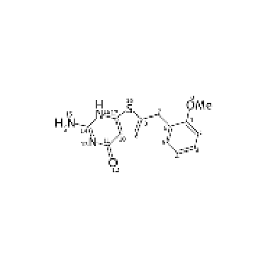 COc1ccccc1Cc1cc2c(=O)nc(N)[nH]c2s1